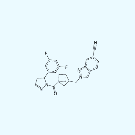 N#Cc1ccc2cn(CC3CC4(C(=O)N5N=CCC5c5cc(F)cc(F)c5)CC3C4)nc2c1